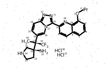 CC(C)Oc1cccc2ccc(-c3nnc4ccc([C@](C)(C(F)(F)F)[C@]5(N)CCNC5)cn34)nc12.Cl.Cl